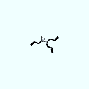 C=CC[SiH2]N(CC=C)CC=C